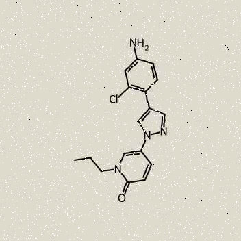 CCCn1cc(-n2cc(-c3ccc(N)cc3Cl)cn2)ccc1=O